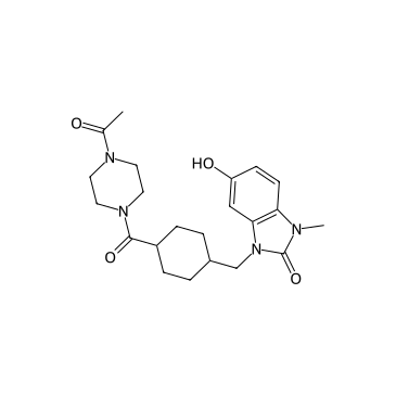 CC(=O)N1CCN(C(=O)C2CCC(Cn3c(=O)n(C)c4ccc(O)cc43)CC2)CC1